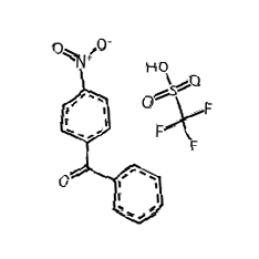 O=C(c1ccccc1)c1ccc([N+](=O)[O-])cc1.O=S(=O)(O)C(F)(F)F